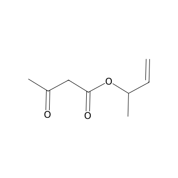 C=CC(C)OC(=O)CC(C)=O